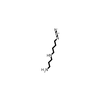 [N-]=[N+]=NCCCCNCCCN